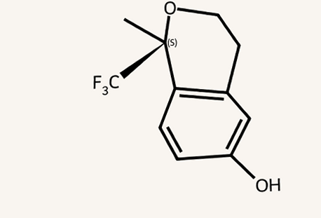 C[C@]1(C(F)(F)F)OCCc2cc(O)ccc21